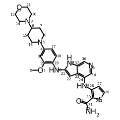 COc1cc(N2CCC(N3CCOCC3)CC2)ccc1Nc1cc2c(Nc3ccsc3C(N)=O)cncc2[nH]1